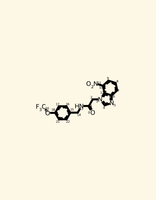 O=C(Cn1cnc2cccc([N+](=O)[O-])c21)NCc1ccc(OC(F)(F)F)cc1